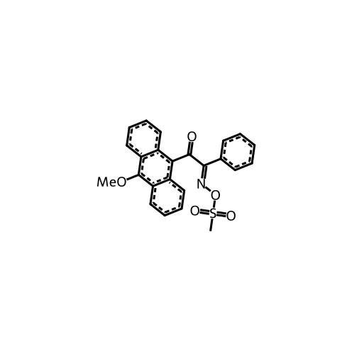 COc1c2ccccc2c(C(=O)/C(=N/OS(C)(=O)=O)c2ccccc2)c2ccccc12